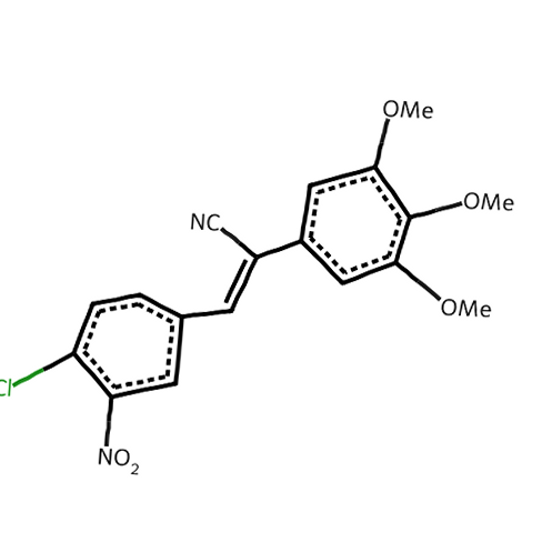 COc1cc(C(C#N)=Cc2ccc(Cl)c([N+](=O)[O-])c2)cc(OC)c1OC